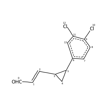 O=C/C=C/C1CC1c1ccc(Cl)c(Cl)c1